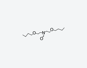 CCCCOCCN(C=O)CCOCCCC